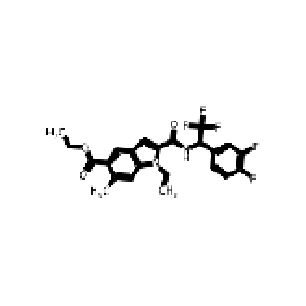 CCOC(=O)c1cc2cc(C(=O)NC(c3ccc(F)c(F)c3)C(F)(F)F)n(CC)c2cc1C